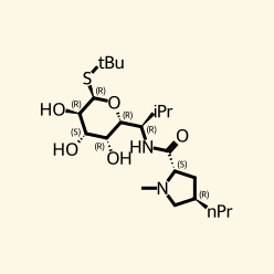 CCC[C@@H]1C[C@@H](C(=O)N[C@H](C(C)C)[C@H]2O[C@H](SC(C)(C)C)[C@H](O)[C@@H](O)[C@H]2O)N(C)C1